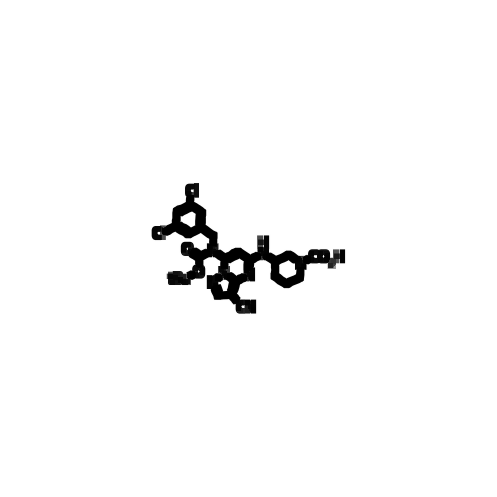 CC(C)(C)OC(=O)N(Cc1cc(Cl)cc(Cl)c1)c1cc(NC2CCCN(C(=O)O)C2)nc2c(C#N)cnn12